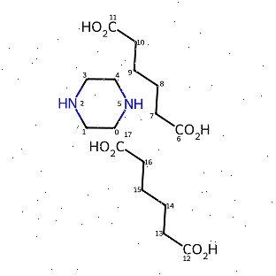 C1CNCCN1.O=C(O)CCCCC(=O)O.O=C(O)CCCCC(=O)O